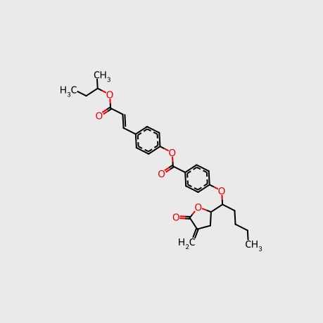 C=C1CC(C(CCCC)Oc2ccc(C(=O)Oc3ccc(/C=C/C(=O)OC(C)CC)cc3)cc2)OC1=O